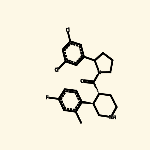 Cc1cc(F)ccc1[C@@H]1CNCC[C@H]1C(=O)N1CCCC1c1cc(Cl)cc(Cl)c1